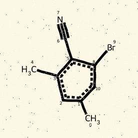 Cc1cc(C)c(C#N)c(Br)c1